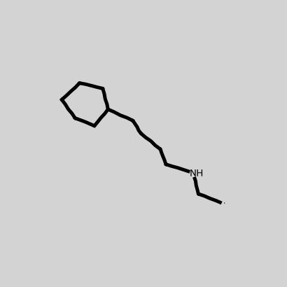 [CH2]CNCCCCC1CCCCC1